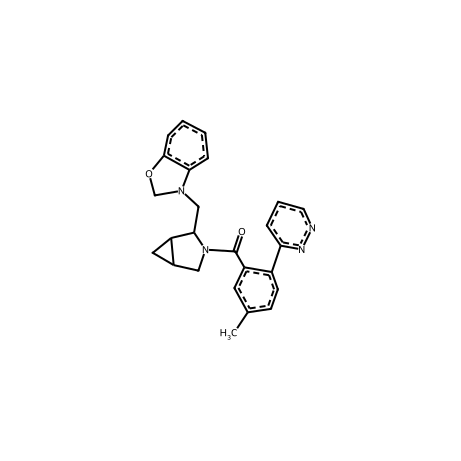 Cc1ccc(-c2cccnn2)c(C(=O)N2CC3CC3C2CN2COc3ccccc32)c1